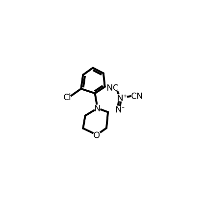 Clc1ccccc1N1CCOCC1.N#C[N+](=[N-])C#N